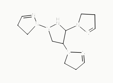 C1=NN(C2CN(N3CCC=N3)NC2N2CCC=N2)CC1